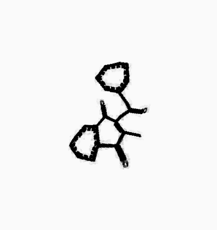 CC1=C(C(=O)c2ccccc2)C(=O)c2ccccc2C1=O